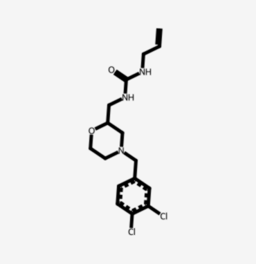 C=CCNC(=O)NCC1CN(Cc2ccc(Cl)c(Cl)c2)CCO1